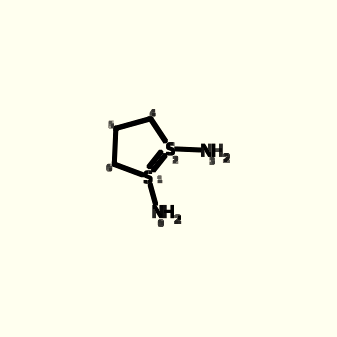 NS1=S(N)CCC1